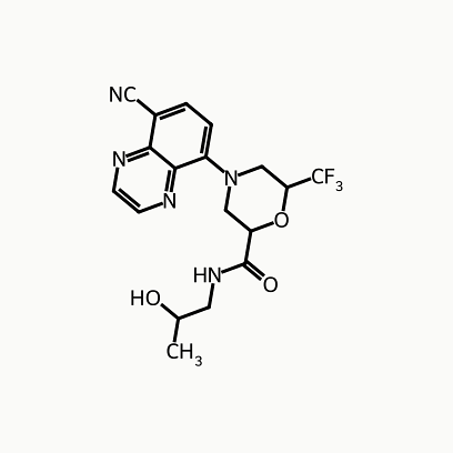 CC(O)CNC(=O)C1CN(c2ccc(C#N)c3nccnc23)CC(C(F)(F)F)O1